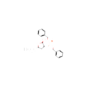 O=C1O[C@H](C(=O)O)C[C@H]1CP(=O)(OCc1ccccc1)OCc1ccccc1